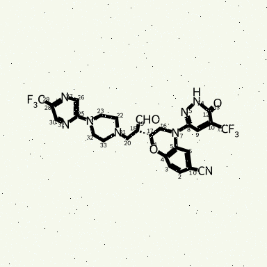 N#Cc1ccc2c(c1)N(c1cc(C(F)(F)F)c(=O)[nH]n1)C[C@@H](C(C=O)CN1CCN(c3cnc(C(F)(F)F)cn3)CC1)O2